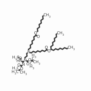 CCCCCCCCCOC(=O)CCCCCCCN(CCCCCCCC(=O)OC(CCCCCCCC)CCCCCCCC)CCCN(C(=O)OC(C)(C)C)/C(=N/C(=O)OC(C)(C)C)NOC